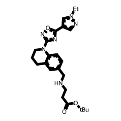 CCn1cc(-c2nc(N3CCCc4cc(CNCCC(=O)OC(C)(C)C)ccc43)no2)cn1